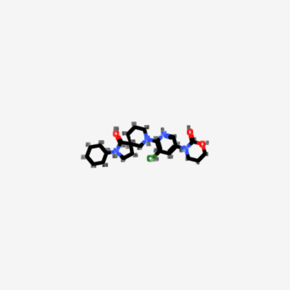 O=C1OCCCN1c1cnc(N2CCC[C@]3(CCN(C4CCCCC4)C3=O)C2)c(Cl)c1